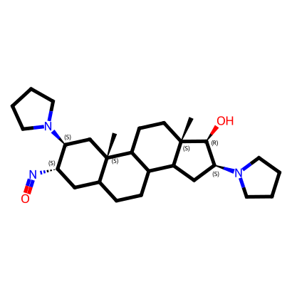 C[C@]12C[C@H](N3CCCC3)[C@@H](N=O)CC1CCC1C2CC[C@@]2(C)C1C[C@H](N1CCCC1)[C@@H]2O